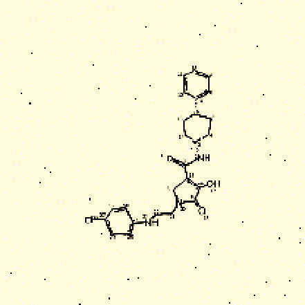 O=C(N[C@H]1CC[C@@H](c2ccccc2)CC1)C1=C(O)C(=O)N(CCNc2ccc(Cl)cc2)C1